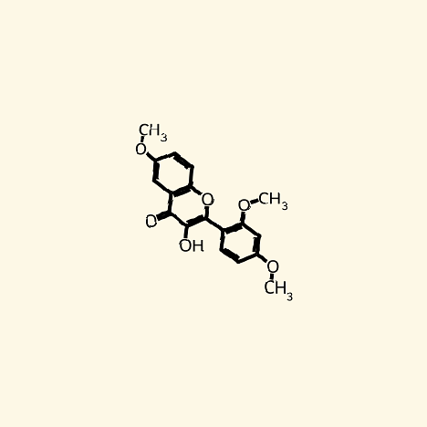 COc1ccc(-c2oc3ccc(OC)cc3c(=O)c2O)c(OC)c1